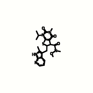 CON(C)C(=O)C1c2c(n(C(C)C)c(=O)n(C)c2=O)SC1Cc1c(C)[nH]c2ncccc12